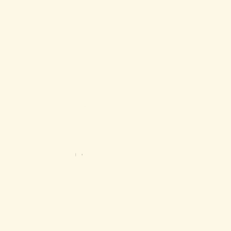 CC1=Cc2occc2C=CC1